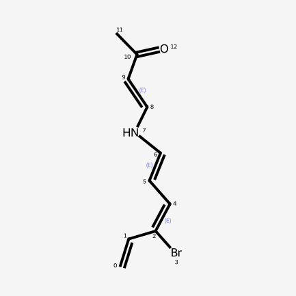 C=C/C(Br)=C\C=C\N/C=C/C(C)=O